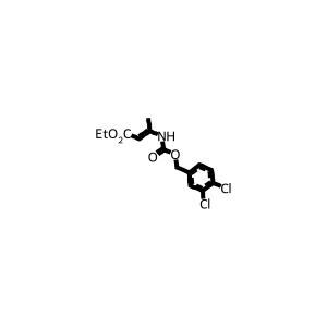 CCOC(=O)C=C(C)NC(=O)OCc1ccc(Cl)c(Cl)c1